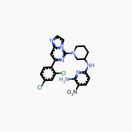 Nc1nc(NC2CCCN(c3nc(-c4ccc(Cl)cc4Cl)cc4nccn34)C2)ccc1[N+](=O)[O-]